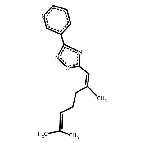 CC(C)=CCCC(C)=Cc1nc(-c2cccnc2)no1